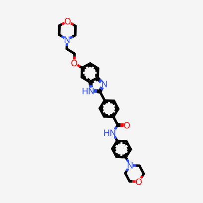 O=C(Nc1ccc(N2CCOCC2)cc1)c1ccc(-c2nc3ccc(OCCN4CCOCC4)cc3[nH]2)cc1